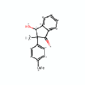 COc1ccc(C2(C)C(=O)c3ccccc3C2O)cc1